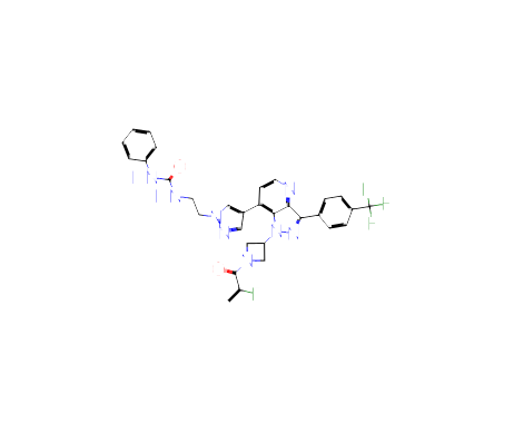 C=C(F)C(=O)N1CC(n2nc(-c3ccc(C(F)(F)F)cc3)c3nccc(-c4cnn(CCNC(=O)Nc5ccccc5)c4)c32)C1